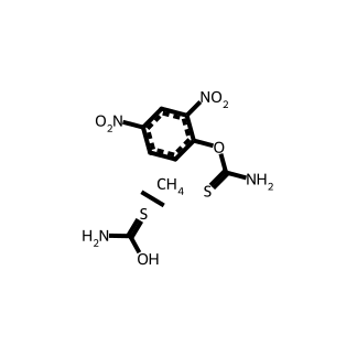 C.CC.NC(=S)Oc1ccc([N+](=O)[O-])cc1[N+](=O)[O-].NC(O)=S